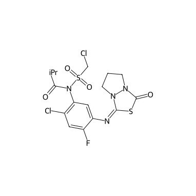 CC(C)C(=O)N(c1cc(N=c2sc(=O)n3n2CCC3)c(F)cc1Cl)S(=O)(=O)CCl